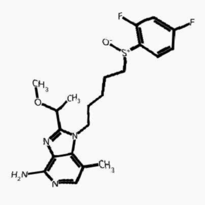 COC(C)c1nc2c(N)ncc(C)c2n1CCCCC[S+]([O-])c1ccc(F)cc1F